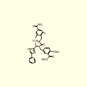 COC(=O)c1cc(CN(C(=O)[C@@H](N)Cc2c(C)cc(C(N)=O)cc2C)[C@H](C)c2nc(-c3ccccc3)c[nH]2)ccc1OC